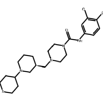 O=C(Nc1ccc(Cl)c(Cl)c1)N1CCN(C[C@@H]2CCCN(C3CCSCC3)C2)CC1